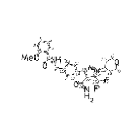 COc1ccccc1C(=O)NCc1ccc(-c2nn(C3CCOCC3)c(C(F)F)c2C(N)=O)cc1